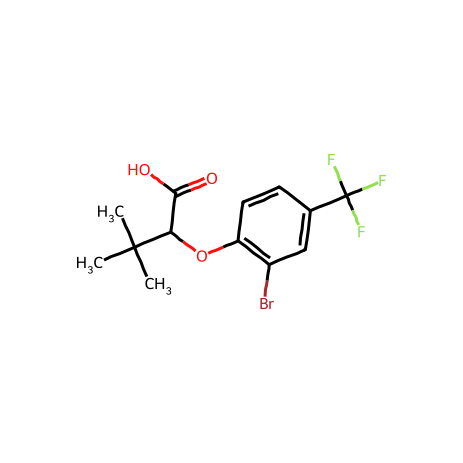 CC(C)(C)C(Oc1ccc(C(F)(F)F)cc1Br)C(=O)O